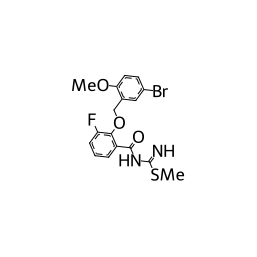 COc1ccc(Br)cc1COc1c(F)cccc1C(=O)NC(=N)SC